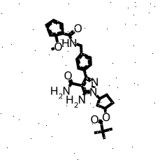 COc1ccccc1C(=O)NCc1ccc(-c2nn(C3CCC(OC(=O)C(C)(C)C)C3)c(N)c2C(N)=O)cc1